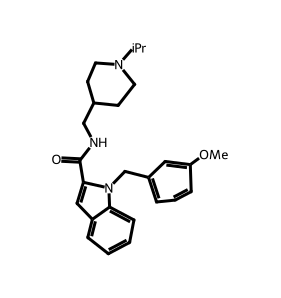 COc1cccc(Cn2c(C(=O)NCC3CCN(C(C)C)CC3)cc3ccccc32)c1